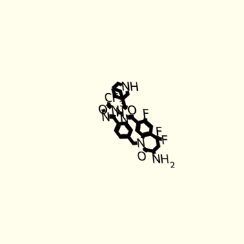 NC1CC(F)(F)c2cc(F)c(-c3nnc(C45CNCC(C4)C5)o3)cc2N(Cc2ccc(-c3noc(C(F)(F)F)n3)cc2)C1=O